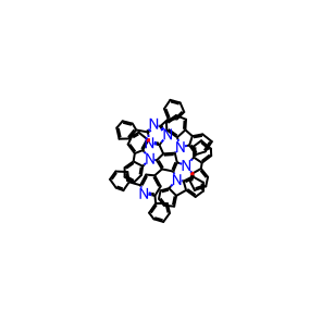 c1ccc(-c2cc(-c3c(-n4c5ccccc5c5ccccc54)c(-c4nc(-c5ccccc5)nc(-c5ccccc5)n4)c(-n4c5ccccc5c5ccccc54)c(-n4c5ccccc5c5ccccc54)c3-n3c4ccccc4c4ccccc43)cc(-c3ccccc3)n2)cc1